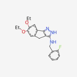 CCOc1cc2c(cc1OCC)-c1n[nH]c(NCc3ccccc3F)c1C2